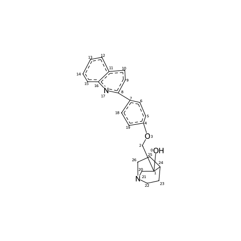 OC1(COc2ccc(-c3ccc4ccccc4n3)cc2)CN2CCC1CC2